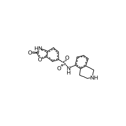 O=c1[nH]c2ccc(S(=O)(=O)Nc3cccc4c3CCNC4)cc2o1